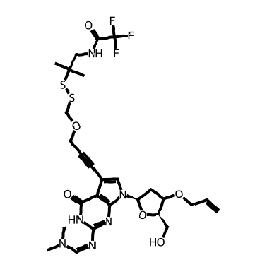 C=CCOC1C[C@H](n2cc(C#CCOCSSC(C)(C)CNC(=O)C(F)(F)F)c3c(=O)[nH]c(/N=C\N(C)C)nc32)O[C@@H]1CO